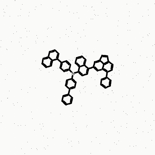 C1=Cc2cc(-c3ccc(N(c4ccc(-c5ccccc5)cc4)c4ccc(-c5cccc6ccccc56)cc4)c4ccccc34)cc3c(-c4ccccc4)ccc1c23